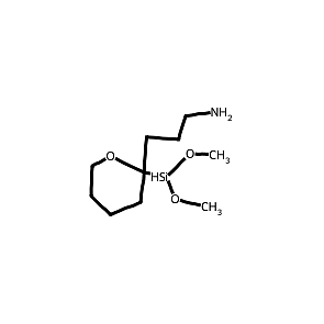 CO[SiH](OC)C1(CCCN)CCCCO1